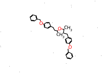 CC(CCc1ccc(OCc2ccccc2)cc1)OC(C)CCc1ccc(OCc2ccccc2)cc1